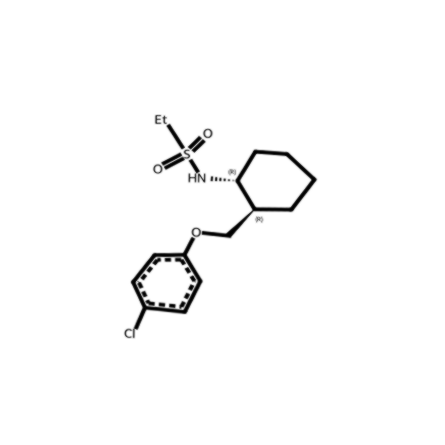 CCS(=O)(=O)N[C@@H]1CCCC[C@H]1COc1ccc(Cl)cc1